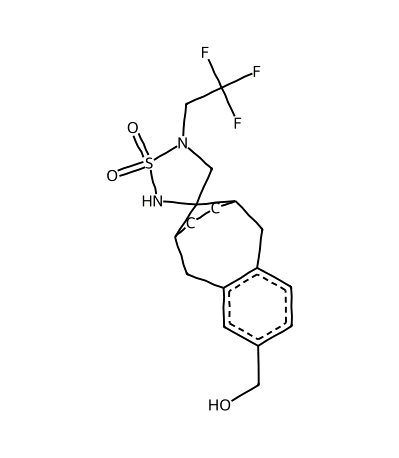 O=S1(=O)NC2(CN1CC(F)(F)F)C1CCC2Cc2cc(CO)ccc2C1